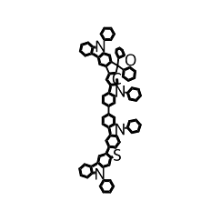 c1ccc(-n2c3ccccc3c3cc4c(cc32)C2(c3ccccc3Oc3ccccc32)c2cc3c(cc2-4)c2ccc(-c4ccc5c6cc7c(cc6n(-c6ccccc6)c5c4)sc4cc5c(cc47)c4ccccc4n5-c4ccccc4)cc2n3-c2ccccc2)cc1